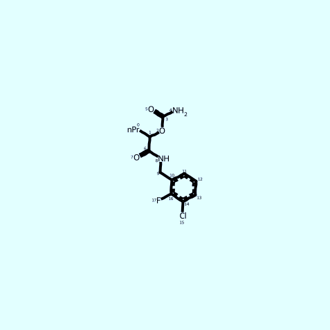 CCCC(OC(N)=O)C(=O)NCc1cccc(Cl)c1F